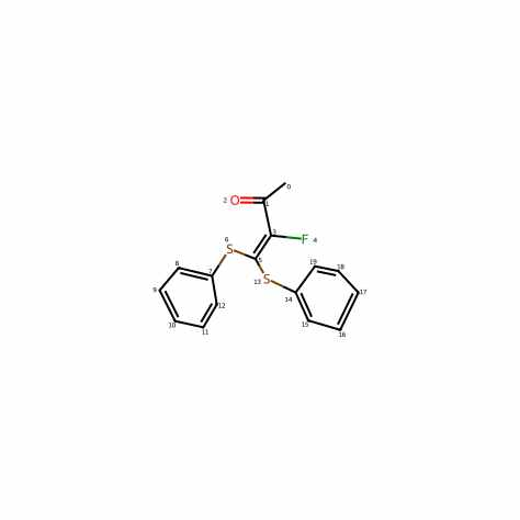 CC(=O)C(F)=C(Sc1ccccc1)Sc1ccccc1